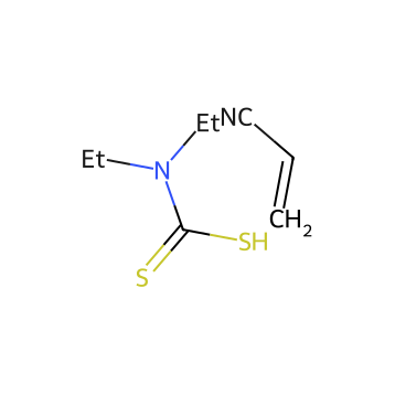 C=CC#N.CCN(CC)C(=S)S